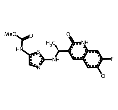 COC(=O)Nc1cnc(N[C@@H](C)c2cc3cc(Cl)c(F)cc3[nH]c2=O)s1